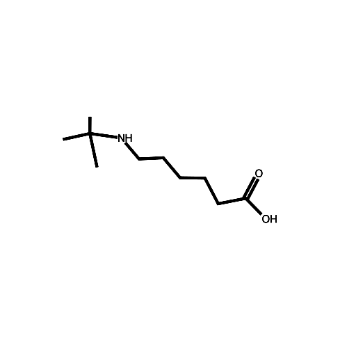 CC(C)(C)NCCCCCC(=O)O